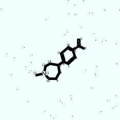 C=C(C)c1ccc(C2CCCN(C)CC2)cc1